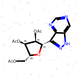 CC(=O)OC[C@H]1O[C@@H](c2n[nH]c3cncnc23)[C@H](OC(C)=O)[C@@H]1OC(C)=O